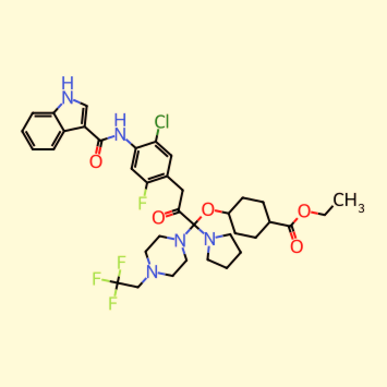 CCOC(=O)C1CCC(OC(C(=O)Cc2cc(Cl)c(NC(=O)c3c[nH]c4ccccc34)cc2F)(N2CCCC2)N2CCN(CC(F)(F)F)CC2)CC1